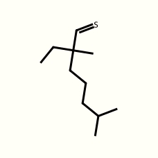 CCC(C)(C=S)CCCC(C)C